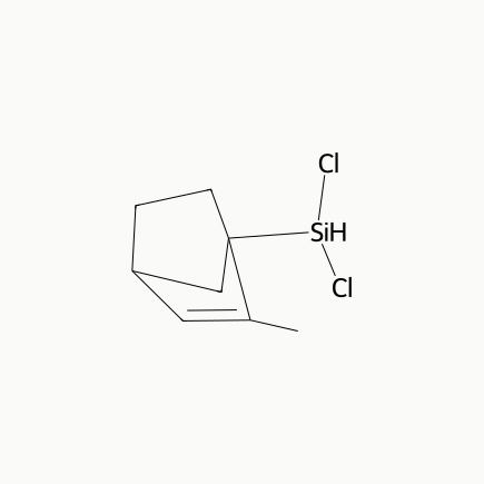 CC1=CC2CCC1([SiH](Cl)Cl)C2